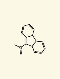 C=[Si](C)C1C2C=CC=CC2C2C=CC=CC21